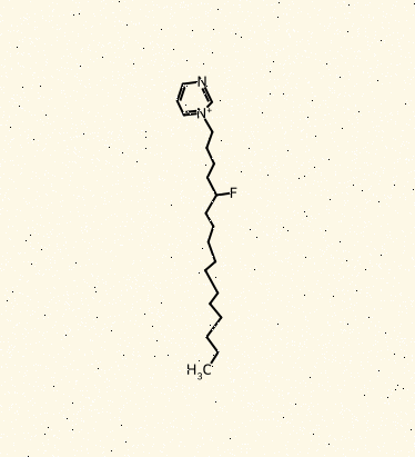 CCCCCCCCCCCC(F)CCCC[n+]1cccnc1